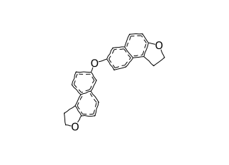 c1cc2c3c(ccc2cc1Oc1ccc2c4c(ccc2c1)OCC4)OCC3